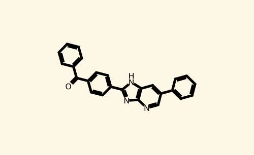 O=C(c1ccccc1)c1ccc(-c2nc3ncc(-c4ccccc4)cc3[nH]2)cc1